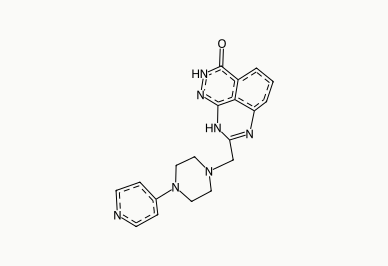 O=c1[nH]nc2c3c(cccc13)N=C(CN1CCN(c3ccncc3)CC1)N2